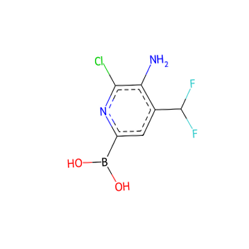 Nc1c(C(F)F)cc(B(O)O)nc1Cl